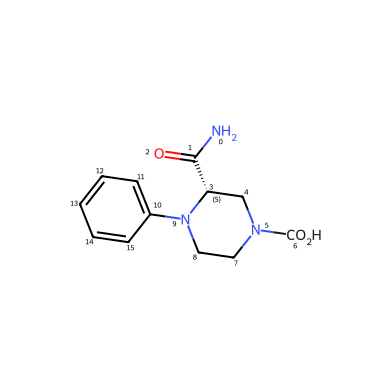 NC(=O)[C@@H]1CN(C(=O)O)CCN1c1ccccc1